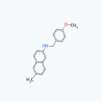 COc1ccc(CNc2ccc3cc(C)ccc3c2)cc1